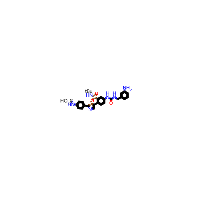 CC(C)(C)NS(=O)(=O)c1cc(NC(=O)NCc2cccc(N)c2)ccc1-c1cnc(-c2ccc(NC(=O)O)cc2)s1